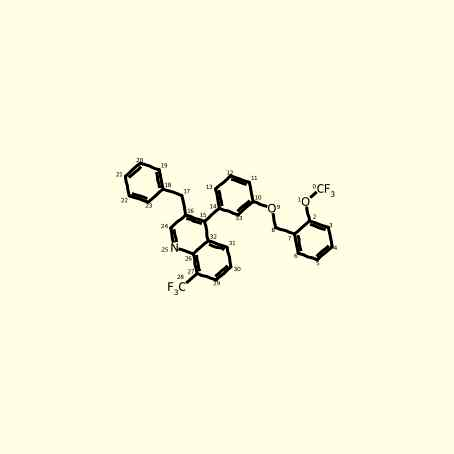 FC(F)(F)Oc1ccccc1COc1cccc(-c2c(Cc3ccccc3)cnc3c(C(F)(F)F)cccc23)c1